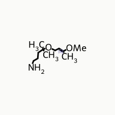 CO/C(C)=C/COC(C)(C)CCCN